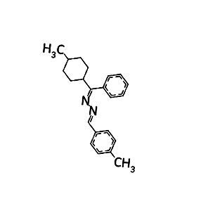 Cc1ccc(C=NN=C(c2ccccc2)C2CCC(C)CC2)cc1